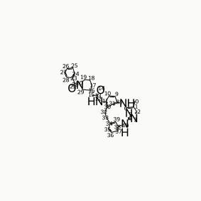 Cc1cnc2nc1Nc1ccc(NC(=O)C[C@H]3CCCN(C(=O)c4ccccc4)C3)c(c1)CCc1cccc(c1)N2